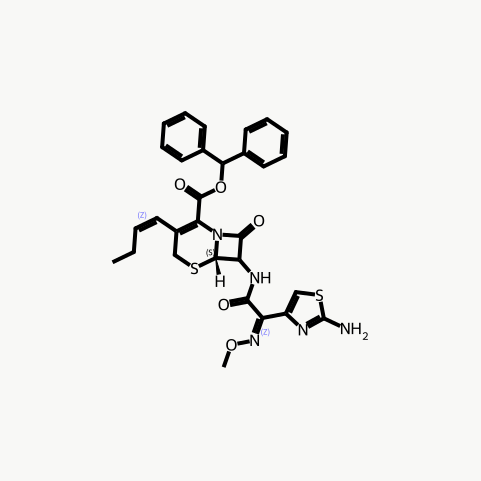 CC/C=C\C1=C(C(=O)OC(c2ccccc2)c2ccccc2)N2C(=O)C(NC(=O)/C(=N\OC)c3csc(N)n3)[C@@H]2SC1